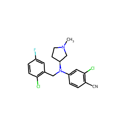 CN1CC[C@H](N(Cc2cc(F)ccc2Cl)c2ccc(C#N)c(Cl)c2)C1